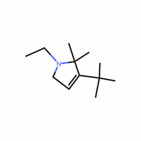 CCN1CC=C(C(C)(C)C)C1(C)C